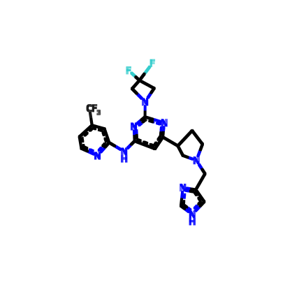 FC1(F)CN(c2nc(Nc3cc(C(F)(F)F)ccn3)cc(C3CCN(Cc4c[nH]cn4)C3)n2)C1